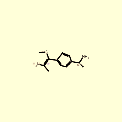 CS/C(=C(/C)N)c1ccc([C@H](C)N)cc1